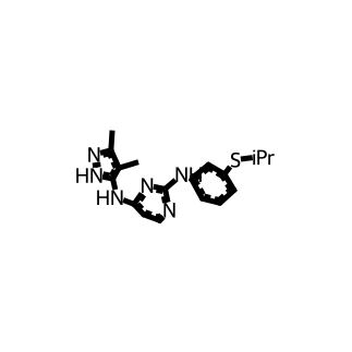 Cc1n[nH]c(Nc2ccnc(Nc3cccc(SC(C)C)c3)n2)c1C